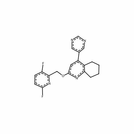 Fc1ccc(F)c(COc2cc(-c3cncnc3)c3c(n2)CCCC3)n1